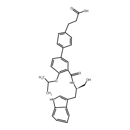 CC(C)Oc1ccc(-c2ccc(CCC(=O)O)cc2)cc1C(=O)N[C@@H](CO)Cc1c[nH]c2ccccc12